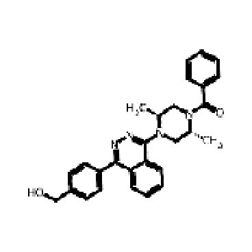 C[C@@H]1CN(c2nnc(-c3ccc(CO)cc3)c3ccccc23)[C@@H](C)CN1C(=O)c1ccccc1